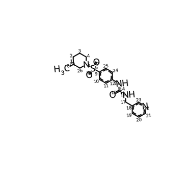 C[C@H]1CCCN(S(=O)(=O)c2ccc(NC(=O)NCc3cccnc3)cc2)C1